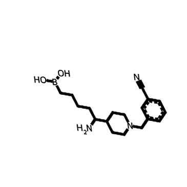 N#Cc1cccc(CN2CCC(C(N)CCCCB(O)O)CC2)c1